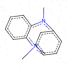 Cn1c2ccc(cc2)n(C)c2ccccc21